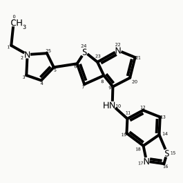 CCN1CC=C(c2cc3c(Nc4ccc5scnc5c4)ccnc3s2)C1